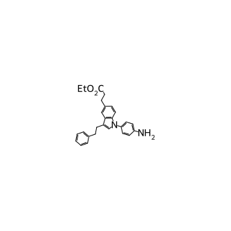 CCOC(=O)CCc1ccc2c(c1)c(CCc1ccccc1)cn2-c1ccc(N)cc1